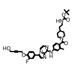 Cc1cc(Nc2nccn3c(-c4ccc(OCC#CCO)c(F)c4)cnc23)ccc1C(=O)N1CCC(CCNC(=O)OC(C)(C)C)CC1